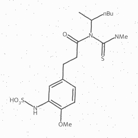 CCCCC(C)N(C(=O)CCc1ccc(OC)c(NS(=O)(=O)O)c1)C(=S)NC